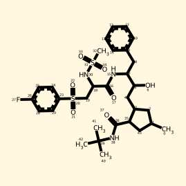 CC1CC(CC(O)C(Cc2ccccc2)NC(=O)C(CS(=O)(=O)c2ccc(F)cc2)NS(C)(=O)=O)C(C(=O)NC(C)(C)C)C1